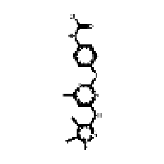 CCC(=O)Nc1ccc(Sc2nc(I)cc(Nc3n[nH]c(C)c3C)n2)cc1